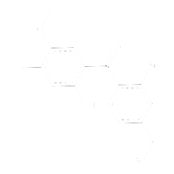 COc1cc(C(=O)c2ccc(CBr)cc2Br)c(O)cc1F